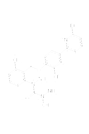 CCc1cccc(-c2ccc(OCc3c(C)cccc3N(N)C(=O)N(C)N)c(C(F)(F)F)c2)n1